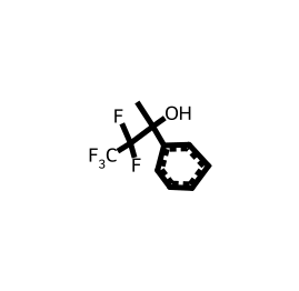 CC(O)(c1ccccc1)C(F)(F)C(F)(F)F